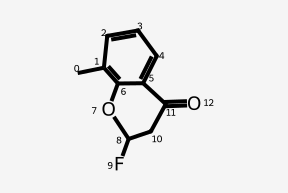 Cc1cccc2c1OC(F)CC2=O